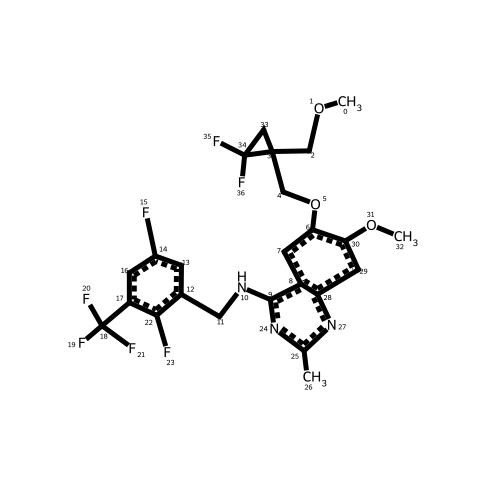 COCC1(COc2cc3c(NCc4cc(F)cc(C(F)(F)F)c4F)nc(C)nc3cc2OC)CC1(F)F